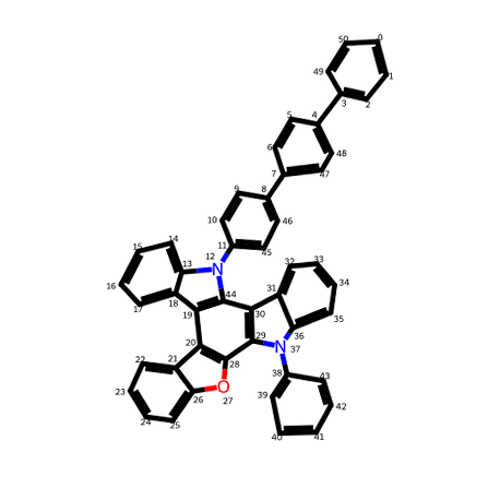 c1ccc(-c2ccc(-c3ccc(-n4c5ccccc5c5c6c7ccccc7oc6c6c(c7ccccc7n6-c6ccccc6)c54)cc3)cc2)cc1